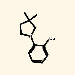 CC1(F)CCN(c2ccccc2C(C)(C)C)C1